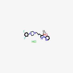 Cc1c(/C=C/CN2CCN(c3cc(F)cc(F)c3)CC2)cnn1-c1ncccc1O.Cl